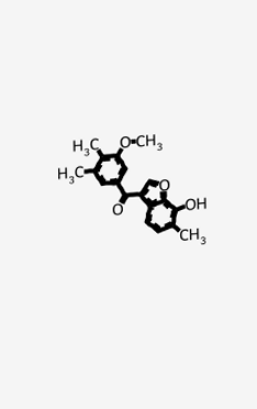 COc1cc(C(=O)c2coc3c(O)c(C)ccc23)cc(C)c1C